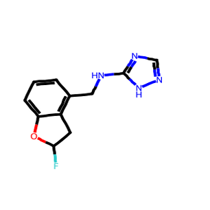 FC1Cc2c(CNc3ncn[nH]3)cccc2O1